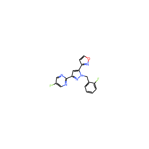 Fc1cnc(-c2cc(-c3ccon3)n(Cc3ccccc3F)n2)nc1